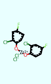 Fc1ccc([O][Zr+2][O]c2ccc(F)cc2Cl)c(Cl)c1.[Cl-].[Cl-]